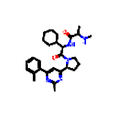 CNC(C)C(=O)NC(C(=O)N1CCCC1c1cc(-c2ccccc2C)nc(C)n1)C1CCCCC1